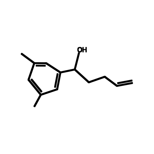 C=CCCC(O)c1cc(C)cc(C)c1